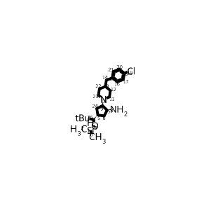 C[SiH](C)OC([C@H]1C[C@@H](N)[C@@H](N2CCC(Cc3ccc(Cl)cc3)CC2)C1)C(C)(C)C